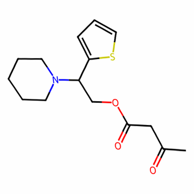 CC(=O)CC(=O)OCC(c1cccs1)N1CCCCC1